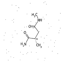 CNC(=O)C[C@H](C)C(N)=O